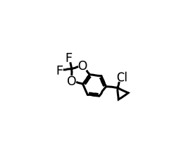 FC1(F)Oc2ccc(C3(Cl)CC3)cc2O1